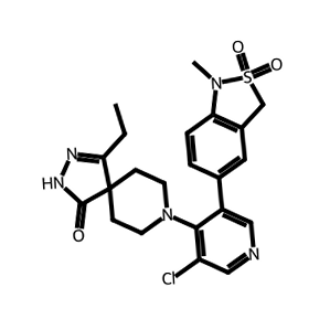 CCC1=NNC(=O)C12CCN(c1c(Cl)cncc1-c1ccc3c(c1)CS(=O)(=O)N3C)CC2